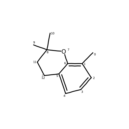 Cc1cccc2c1OC(C)(C)C[C]2